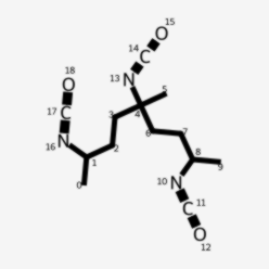 CC(CCC(C)(CCC(C)N=C=O)N=C=O)N=C=O